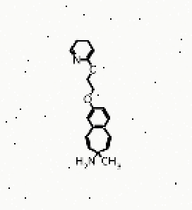 CC1(N)C=Cc2ccc(OCCOC3=CCCC=N3)cc2C=C1